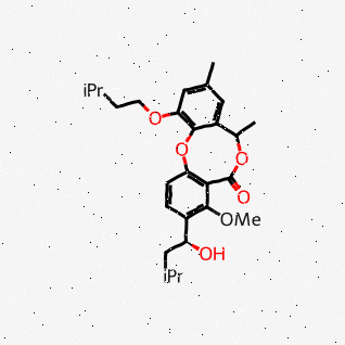 COc1c([C@@H](O)CC(C)C)ccc2c1C(=O)OC(C)c1cc(C)cc(OCCC(C)C)c1O2